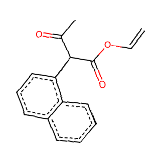 C=COC(=O)C(C(C)=O)c1cccc2ccccc12